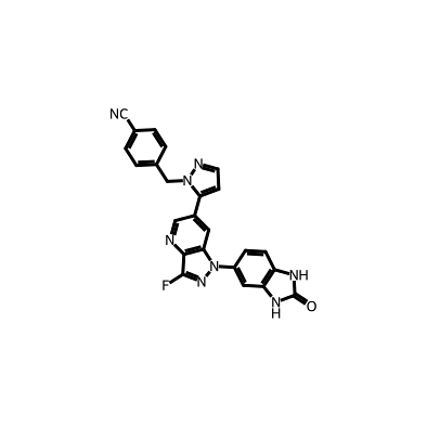 N#Cc1ccc(Cn2nccc2-c2cnc3c(F)nn(-c4ccc5[nH]c(=O)[nH]c5c4)c3c2)cc1